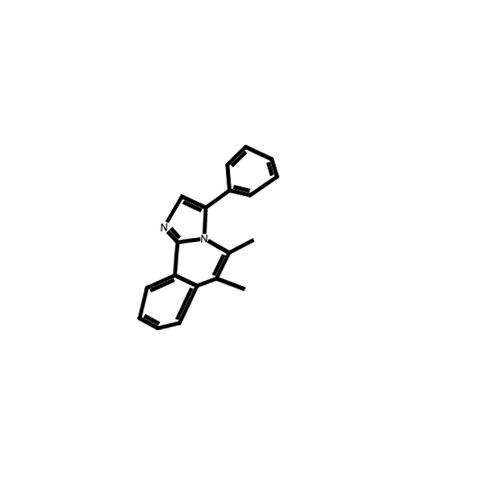 Cc1c(C)n2c(-c3ccccc3)cnc2c2ccccc12